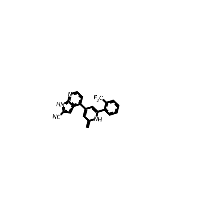 C=C1C=C(c2ccnc3[nH]c(C#N)cc23)C=C(c2ccccc2C(F)(F)F)N1